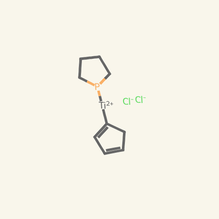 C1=CC[C]([Ti+2][P]2CCCC2)=C1.[Cl-].[Cl-]